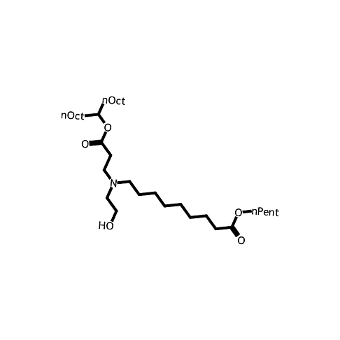 CCCCCCCCC(CCCCCCCC)OC(=O)CCN(CCO)CCCCCCCCC(=O)OCCCCC